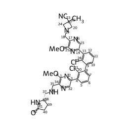 COc1nc(-c2cccc(-c3cccc(-c4cnc(CN5CC(C)(C#N)C5)c(OC)n4)c3Cl)c2Cl)cnc1CNC[C@@H]1CCC(=O)N1